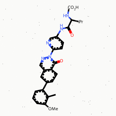 COc1cccc(-c2ccc3c(=O)n(-c4ccc(NC(=O)C(NC(=O)O)C(C)C)cn4)ncc3c2)c1C